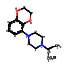 CCOC(=O)[C@@H](C)N1CCN(c2cccc3c2OCCO3)CC1